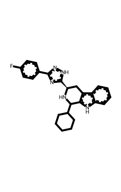 Fc1ccc(-c2n[nH]c([C@H]3Cc4c([nH]c5ccccc45)C(C4CCCCC4)N3)n2)cc1